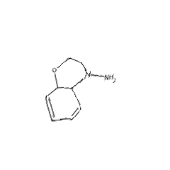 NN1CCOC2C=CC=CC21